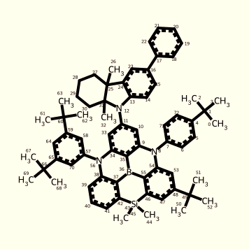 CC(C)(C)c1ccc(N2c3cc(N4c5ccc(-c6ccccc6)cc5C5(C)CCCCC45C)cc4c3B3c5c(cccc5[Si](C)(C)c5cc(C(C)(C)C)cc2c53)N4c2cc(C(C)(C)C)cc(C(C)(C)C)c2)cc1